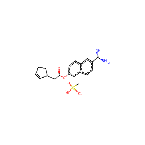 CS(=O)(=O)O.N=C(N)c1ccc2cc(OC(=O)CC3C=CCC3)ccc2c1